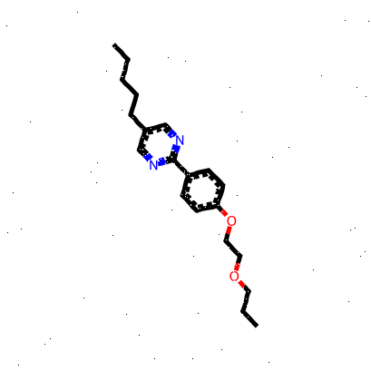 CCCCCc1cnc(-c2ccc(OCCOCCC)cc2)nc1